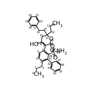 CCCc1ccc(C2=C(O)CC(CCC)(CCc3ccccc3)OC2=O)c(S(N)(=O)=O)c1-c1ccccc1